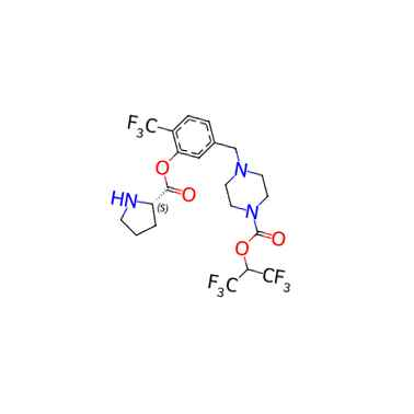 O=C(Oc1cc(CN2CCN(C(=O)OC(C(F)(F)F)C(F)(F)F)CC2)ccc1C(F)(F)F)[C@@H]1CCCN1